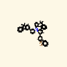 CC1(C)c2ccccc2-c2cc(-c3cccc(N(c4cccc(-c5ccc6sc7ccccc7c6c5)c4)c4cccc5c4-c4ccccc4C5(C)C)c3)ccc21